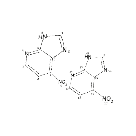 O=[N+]([O-])c1ccnc2[nH]cnc12.O=[N+]([O-])c1ccnc2[nH]cnc12